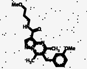 COCCCNC(=O)c1cnn2c(C)c(Cc3cccc(OC)c3)c(C)nc12